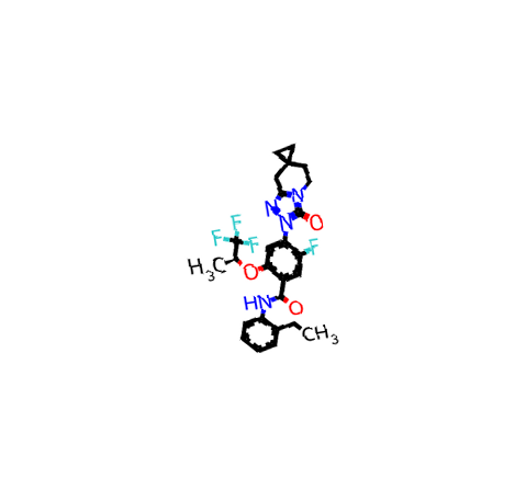 CCc1ccccc1NC(=O)c1cc(F)c(-n2nc3n(c2=O)CCC2(CC2)C3)cc1O[C@@H](C)C(F)(F)F